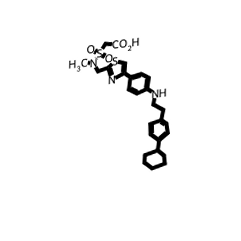 CN(Cc1nc(-c2ccc(NCCc3ccc(C4CCCCC4)cc3)cc2)cs1)S(=O)(=O)CC(=O)O